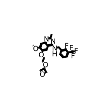 COc1cc2nc(C)nc(NCc3cccc(C(F)(F)F)c3F)c2cc1OCCOC1COC1